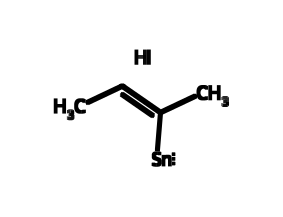 CC=[C](C)[Sn].I